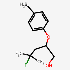 Bc1ccc(OC(CO)CC(F)(C(F)(F)F)C(F)(F)F)cc1